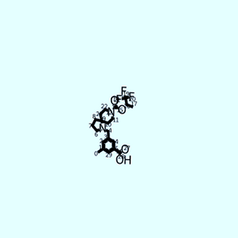 Cc1cc(CN2CCCC23CCN(C(=O)OC(C)C(F)(F)F)CC3)cc(C(=O)O)c1